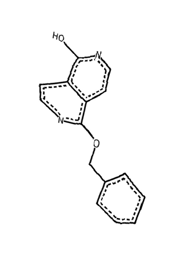 Oc1nccc2c(OCc3ccccc3)nccc12